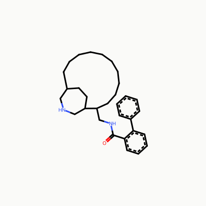 O=C(NCC1CCCCCCCCCCC2CCC1CNC2)c1ccccc1-c1ccccc1